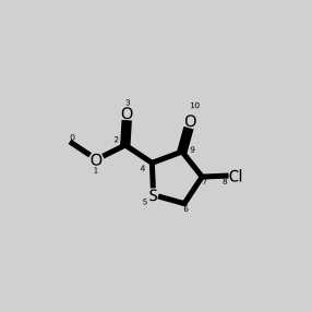 COC(=O)C1SCC(Cl)C1=O